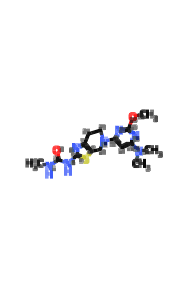 CNC(=O)Nc1nc2c(s1)CN(c1cc(N(C)C)nc(OC)n1)CC2